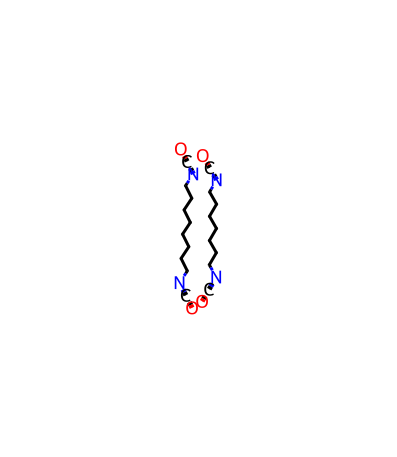 O=C=NCCCCCCCCN=C=O.O=C=NCCCCCCCN=C=O